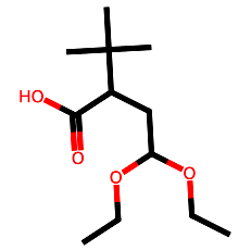 CCOC(CC(C(=O)O)C(C)(C)C)OCC